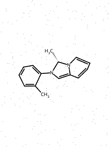 Cc1ccccc1N1C=C2C=CC=CN2[C@H]1C